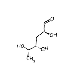 C[C@H](O)[C@@H](O)C[C@H](O)C=O